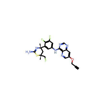 C#CCOc1cnc2c(Nc3cc(F)c(F)c([C@]4(C)C[C@](C)(CF)SC(N)=N4)c3)ncnc2c1